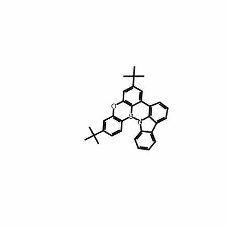 CC(C)(C)c1ccc2c(c1)Oc1cc(C(C)(C)C)cc3c1B2n1c2ccccc2c2cccc-3c21